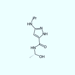 CC(C)Nc1cc(C(=O)N[C@@H](C)O)[nH]n1